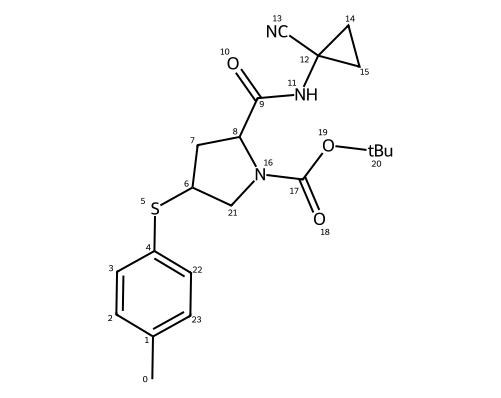 Cc1ccc(SC2CC(C(=O)NC3(C#N)CC3)N(C(=O)OC(C)(C)C)C2)cc1